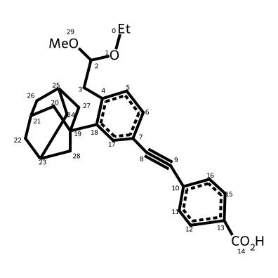 CCOC(Cc1ccc(C#Cc2ccc(C(=O)O)cc2)cc1C12CC3CC(CC(C3)C1)C2)OC